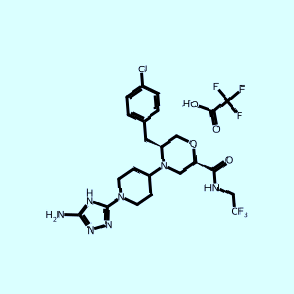 Nc1nnc(N2CCC(N3C[C@H](C(=O)NCC(F)(F)F)OC[C@@H]3Cc3ccc(Cl)cc3)CC2)[nH]1.O=C(O)C(F)(F)F